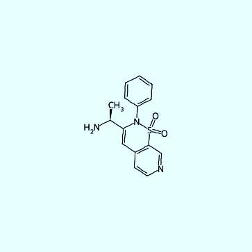 C[C@H](N)C1=Cc2ccncc2S(=O)(=O)N1c1ccccc1